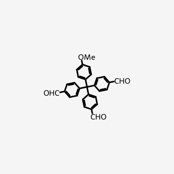 COc1ccc(C(c2ccc(C=O)cc2)(c2ccc(C=O)cc2)c2ccc(C=O)cc2)cc1